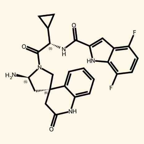 N[C@@H]1C[C@]2(CC(=O)Nc3ccccc32)CN1C(=O)[C@@H](NC(=O)c1cc2c(F)ccc(F)c2[nH]1)C1CC1